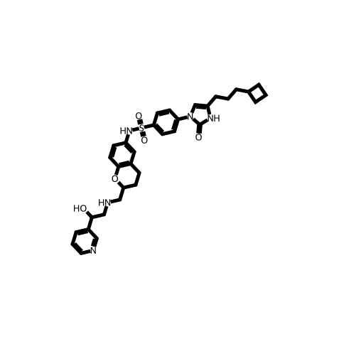 O=c1[nH]c(CCCC2CCC2)cn1-c1ccc(S(=O)(=O)Nc2ccc3c(c2)CCC(CNCC(O)c2cccnc2)O3)cc1